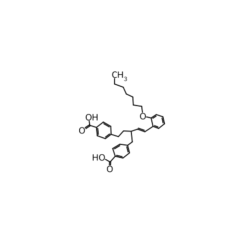 CCCCCCCOc1ccccc1C=CC(CCc1ccc(C(=O)O)cc1)Cc1ccc(C(=O)O)cc1